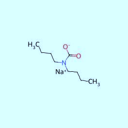 CCCCN(CCCC)C(=O)[O-].[Na+]